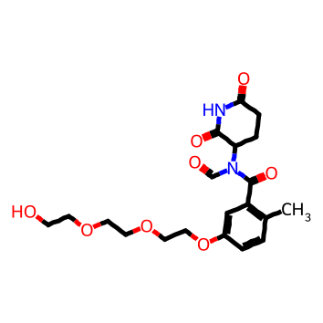 Cc1ccc(OCCOCCOCCO)cc1C(=O)N(C=O)C1CCC(=O)NC1=O